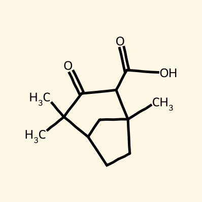 CC12CCC(C1)C(C)(C)C(=O)C2C(=O)O